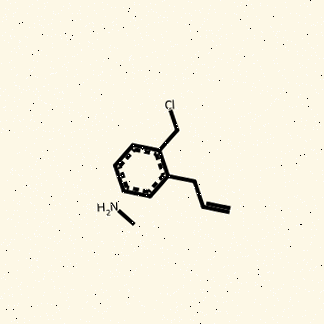 C=CCc1ccccc1CCl.CN